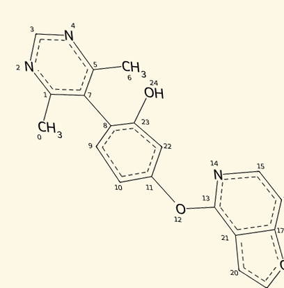 Cc1ncnc(C)c1-c1ccc(Oc2nccc3occc23)cc1O